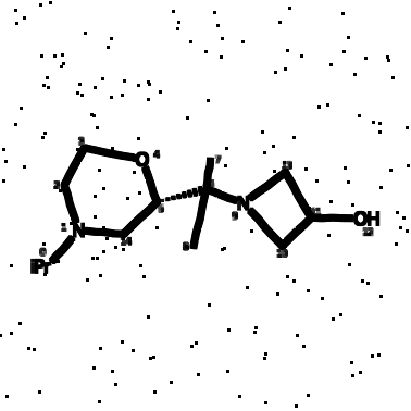 CC(C)N1CCO[C@H](C(C)(C)N2CC(O)C2)C1